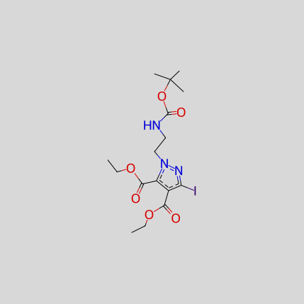 CCOC(=O)c1c(I)nn(CCNC(=O)OC(C)(C)C)c1C(=O)OCC